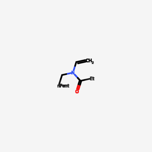 C=CN(CCCCCC)C(=O)CC